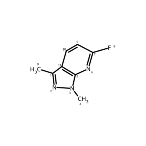 Cc1nn(C)c2nc(F)ccc12